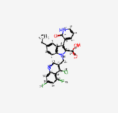 CCc1ccc2c(c1)c(-c1ccc[nH]c1=O)c(C(=O)O)n2Cc1cnc2cc(F)cc(F)c2c1Cl